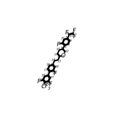 FC(F)=C(F)c1ccc(C2CCC(CCc3ccc(-c4cc(F)c(C(F)(F)F)c(F)c4)c(F)c3)OC2)c(F)c1